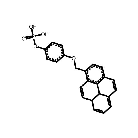 O=P(O)(O)Oc1ccc(OCc2ccc3c4c2C=CC2C=CC=C(C=C3)C42)cc1